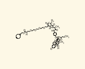 CCCC1O[C@@H]2C[C@H]3[C@@H]4CCC5=CC(=O)C=C[C@]5(C)[C@H]4[C@@H](O)C[C@]3(C)[C@]2(C(=O)COc2ccc(NC(=O)[C@H](C)NC(=O)[C@@H](NC(=O)CCOCCOCCOCCOCCNC(=O)OCC3C4CCC#CCCC43)C(C)C)cc2)O1